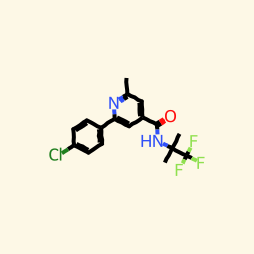 Cc1cc(C(=O)NC(C)(C)C(F)(F)F)cc(-c2ccc(Cl)cc2)n1